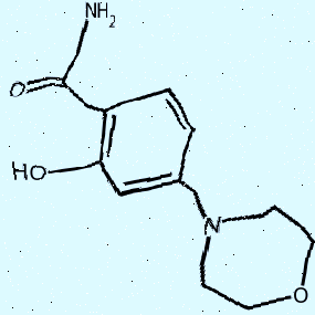 NC(=O)c1ccc(N2CCOCC2)cc1O